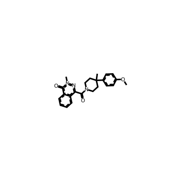 COc1ccc(C2(C)CCN(C(=O)c3nn(C)c(=O)c4ccccc34)CC2)cc1